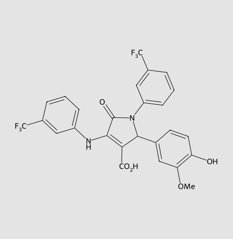 COc1cc(C2C(C(=O)O)=C(Nc3cccc(C(F)(F)F)c3)C(=O)N2c2cccc(C(F)(F)F)c2)ccc1O